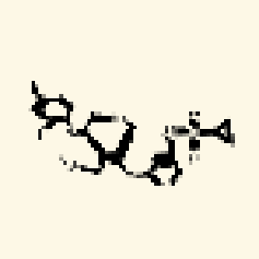 NCc1c(Nc2ccc(I)cc2F)cncc1Oc1cccc(NS(=O)(=O)C2CC2)c1